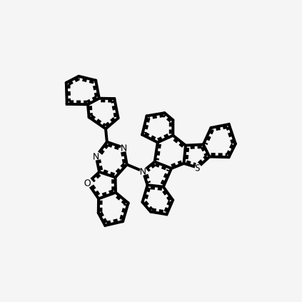 c1ccc2cc(-c3nc(-n4c5ccccc5c5c6sc7ccccc7c6c6ccccc6c54)c4c(n3)oc3ccccc34)ccc2c1